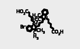 CC1(C)C(/C=C/C=C2/N(CCCCCC(=O)O)c3ccccc3C2(C)C)=[N+](CCCCCC(=O)O)c2ccccc21.[Br-]